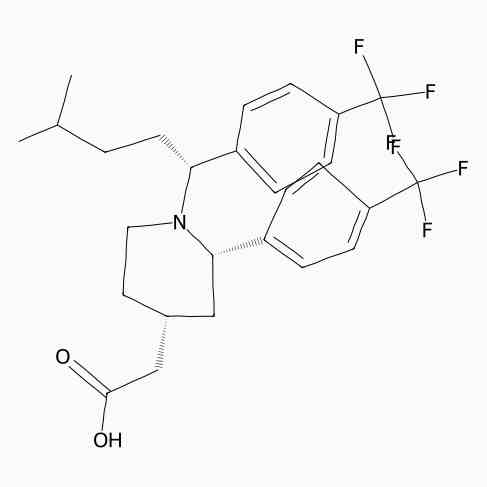 CC(C)CC[C@H](c1ccc(C(F)(F)F)cc1)N1CC[C@@H](CC(=O)O)C[C@H]1c1ccc(C(F)(F)F)cc1